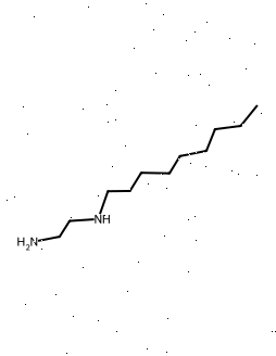 CCCCCCCCCNCCN